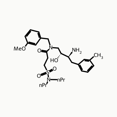 CCCN(CCC)S(=O)(=O)CCC(=O)N(Cc1cccc(OC)c1)C[C@@H](O)[C@@H](N)Cc1cccc(C)c1